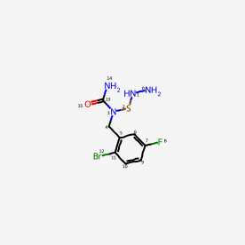 NNSN(Cc1cc(F)ccc1Br)C(N)=O